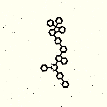 c1ccc(-c2ccc(-c3cc(-c4ccc(-c5cccc(-c6ccc(-c7cccc8c7-c7ccccc7C8(c7ccccc7)c7ccccc7)cc6)c5)c5ccccc45)nc(-c4ccccc4)n3)cc2)cc1